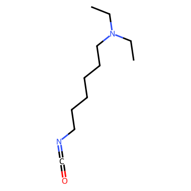 CCN(CC)CCCCCCN=C=O